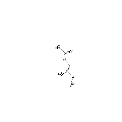 CCCC(=O)CCC(O)CC(C)C